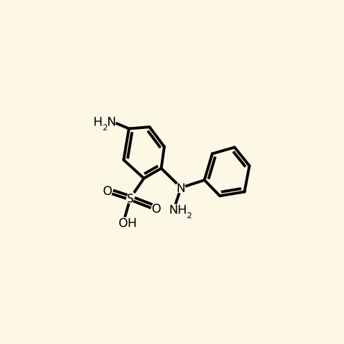 Nc1ccc(N(N)c2ccccc2)c(S(=O)(=O)O)c1